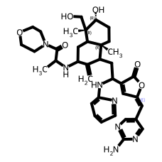 C=C1C(NC(C)C(=O)N2CCOCC2)CC2[C@](C)(CC[C@@H](O)[C@@]2(C)CO)C1CC(Nc1ccccn1)C1=C/C(=C\c2cnc(N)nc2)OC1=O